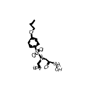 C=CCOc1ccc(S(=O)(=O)N(CC(=O)NO)CC(C)C)cc1